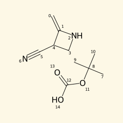 C=C1NCC1C#N.CC(C)(C)OC(=O)O